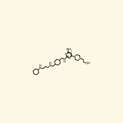 Nc1cc(N2CCN(CCO)CC2)nc(NCC2CCC(CNCCCNC3CCCCC3)CC2)n1